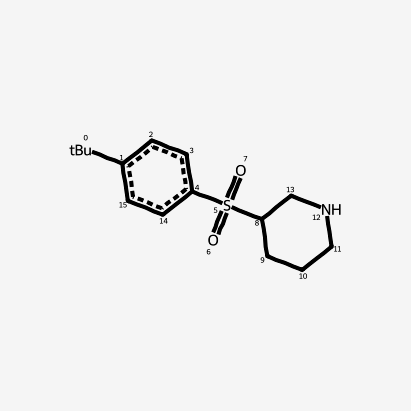 CC(C)(C)c1ccc(S(=O)(=O)C2CCCNC2)cc1